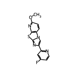 COc1ccc2c(n1)sc1nc(-c3cc(F)ccn3)cn12